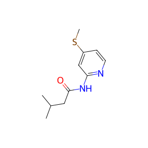 CSc1ccnc(NC(=O)CC(C)C)c1